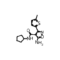 Cc1ccc(-c2noc(N)c2C(=O)NC2CCCC2)s1